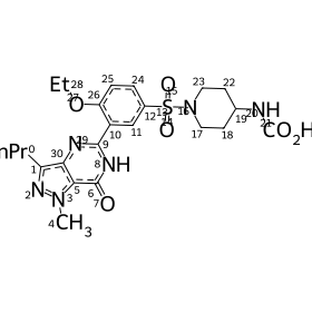 CCCc1nn(C)c2c(=O)[nH]c(-c3cc(S(=O)(=O)N4CCC(NC(=O)O)CC4)ccc3OCC)nc12